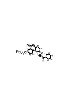 CCOC(=O)c1ccc(-c2cc(CN[C@H](C)c3ccccc3)ccc2OC)cc1